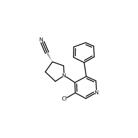 N#C[C@H]1CCN(c2c(Cl)cncc2-c2ccccc2)C1